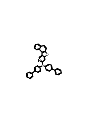 c1ccc(-c2ccc(N(c3ccc(-c4ccccc4)cc3)c3cc4oc5ccc6ccccc6c5c4cn3)cc2)cc1